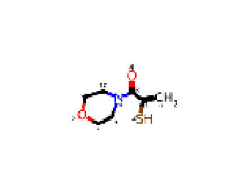 C=C(S)C(=O)N1CCOCC1